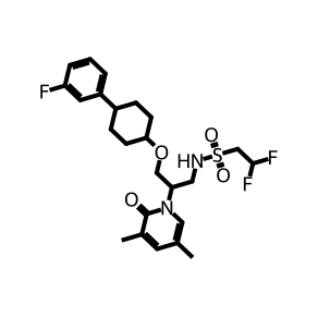 Cc1cc(C)c(=O)n(C(CNS(=O)(=O)CC(F)F)COC2CCC(c3cccc(F)c3)CC2)c1